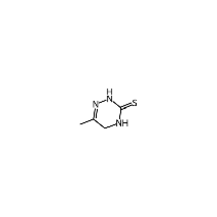 CC1=NNC(=S)NC1